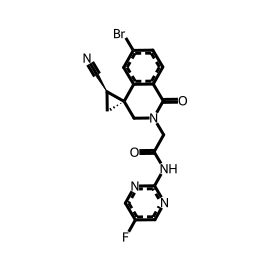 N#C[C@@H]1C[C@]12CN(CC(=O)Nc1ncc(F)cn1)C(=O)c1ccc(Br)cc12